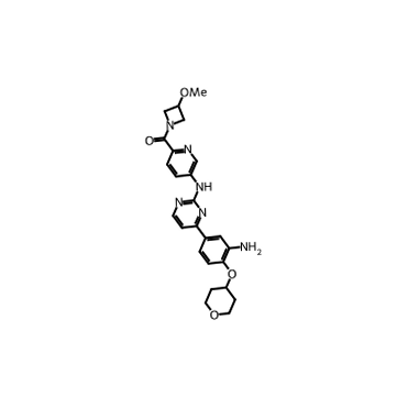 COC1CN(C(=O)c2ccc(Nc3nccc(-c4ccc(OC5CCOCC5)c(N)c4)n3)cn2)C1